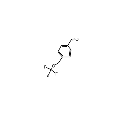 O=Cc1ccc(COC(F)(F)F)cc1